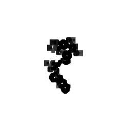 CC(C)c1cc(-c2nnc(O)n2-c2ccc3c(ccn3CCN(C)C(=O)Oc3cccc4c5nc6ccccc6cc5cn34)c2)c(O)cc1O